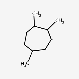 CC1C[CH]C(C)C(C)CC1